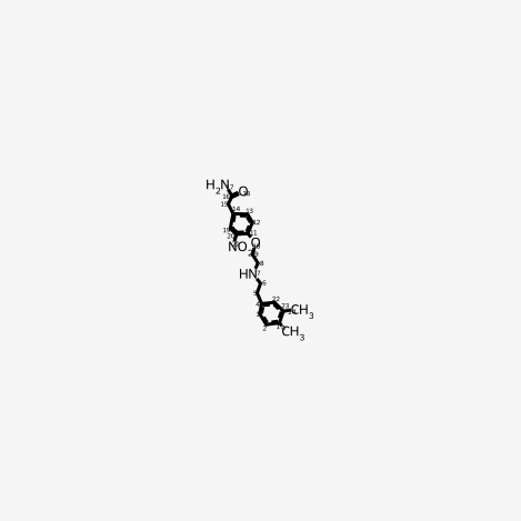 Cc1ccc(CCNCCOc2ccc(CC(N)=O)cc2[N+](=O)[O-])cc1C